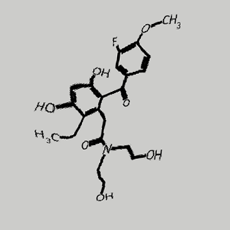 CCc1c(O)cc(O)c(C(=O)c2ccc(OC)c(F)c2)c1CC(=O)N(CCO)CCO